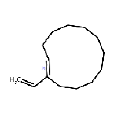 C=C/C1=C\CCCCCCCCCC1